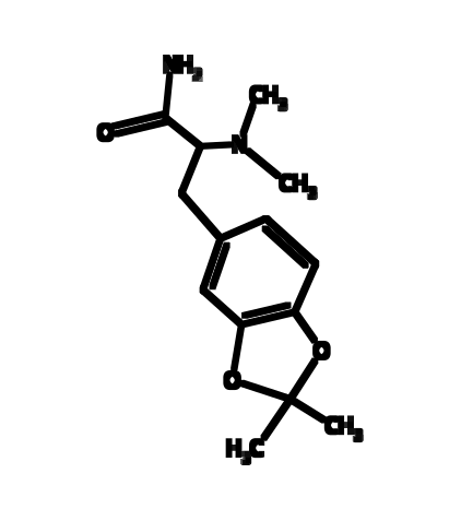 CN(C)C(Cc1ccc2c(c1)OC(C)(C)O2)C(N)=O